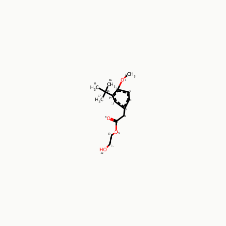 COc1ccc(CC(=O)OCCO)cc1C(C)(C)C